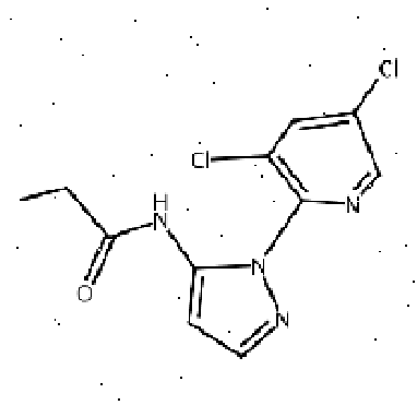 CCC(=O)Nc1ccnn1-c1ncc(Cl)cc1Cl